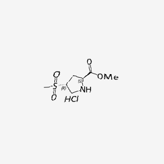 COC(=O)[C@@H]1C[C@@H](S(C)(=O)=O)CN1.Cl